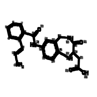 NN=Cc1ccccc1C(=O)Nc1ccc2c(c1)CNC(=O)C(CC(=O)O)N2